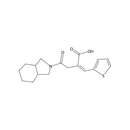 O=C(O)C(=Cc1cccs1)CC(=O)N1CC2CCCCC2C1